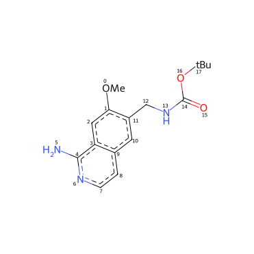 COc1cc2c(N)nccc2cc1CNC(=O)OC(C)(C)C